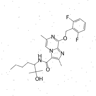 CCCCC(NC(=O)c1c(C)nc2c(OCc3c(F)cccc3F)nc(C)cn12)C(C)(C)O